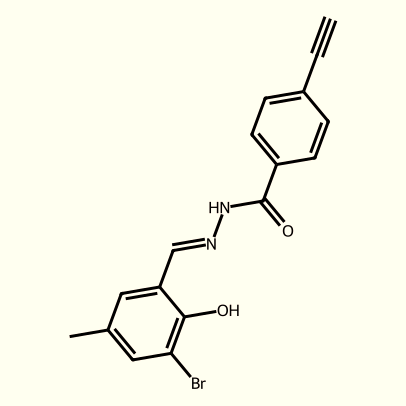 C#Cc1ccc(C(=O)N/N=C/c2cc(C)cc(Br)c2O)cc1